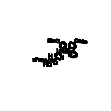 CCCCCC(O)NC(=O)c1ccc(NNC(c2ccccc2)(c2ccc(OC)cc2)c2ccc(OC)cc2)nc1